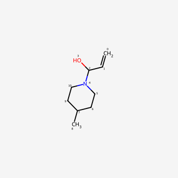 C=CC(O)N1CCC(C)CC1